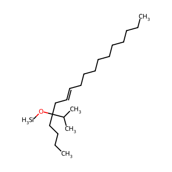 CCCCCCCCCCC=CCC(CCCC)(O[SiH3])C(C)C